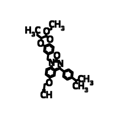 C#CCOc1ccc2c(c1)c(-c1ccc(C(C)C)cc1)nc(=O)n2Cc1cccc(OC(CC)C(=O)OCC)c1